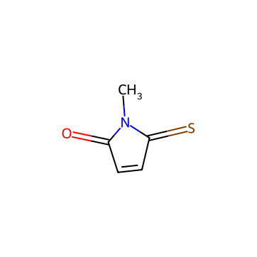 CN1C(=O)C=CC1=S